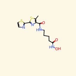 Cc1sc(-c2nccs2)nc1C(=O)NCCCCC(=O)NO